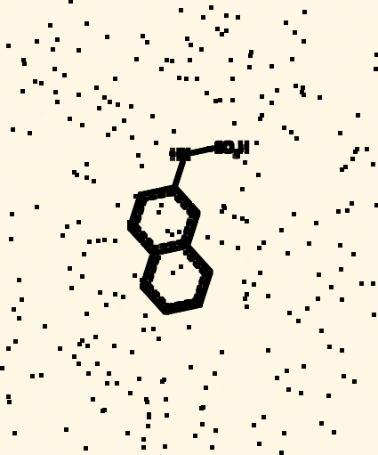 O=S(=O)(O)Nc1ccc2ccccc2c1